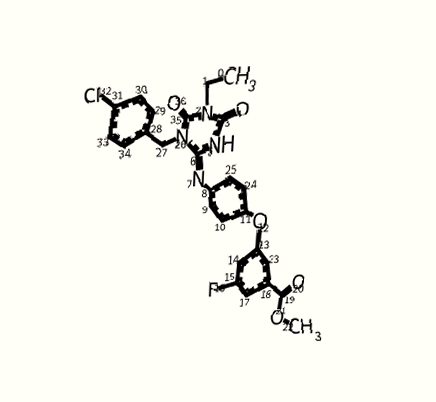 CCn1c(=O)[nH]/c(=N\c2ccc(Oc3cc(F)cc(C(=O)OC)c3)cc2)n(Cc2ccc(Cl)cc2)c1=O